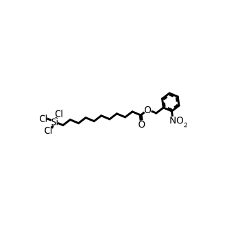 O=C(CCCCCCCCCC[Si](Cl)(Cl)Cl)OCc1ccccc1[N+](=O)[O-]